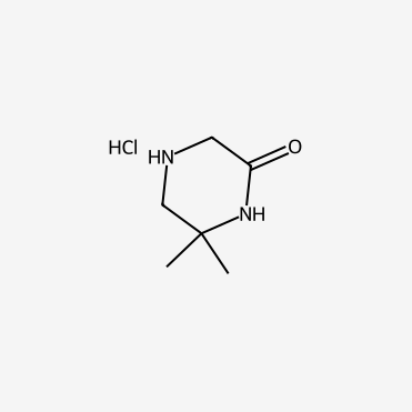 CC1(C)CNCC(=O)N1.Cl